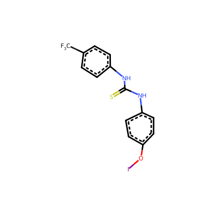 FC(F)(F)c1ccc(NC(=S)Nc2ccc(OI)cc2)cc1